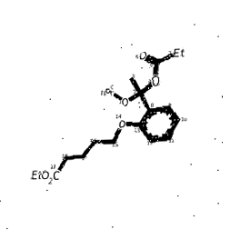 CCCOC(C)(OC(=O)CC)c1ccccc1OCCCCC(=O)OCC